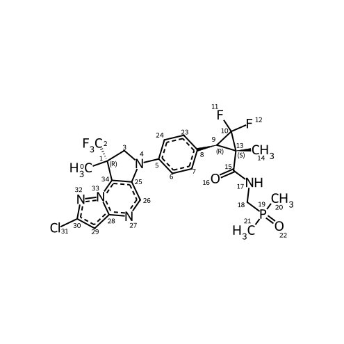 C[C@@]1(C(F)(F)F)CN(c2ccc([C@H]3C(F)(F)[C@]3(C)C(=O)NCP(C)(C)=O)cc2)c2cnc3cc(Cl)nn3c21